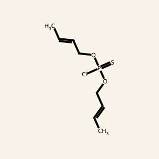 CC=CCOP(=S)(Cl)OCC=CC